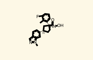 Cc1c(F)cccc1[C@]1(C(=O)NO)CC[C@H](c2ccc3cnn(C)c3c2)C1